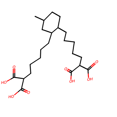 CC1CCC(CCCCCC(C(=O)O)C(=O)O)C(CCCCCC(C(=O)O)C(=O)O)C1